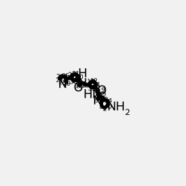 N[C@H]1CCc2nc(NC(=O)c3cccc(CNC(=O)c4cccc(-c5cccnc5)c4)c3)sc2C1